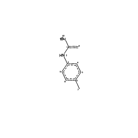 C=C(Nc1ccc(C)cc1)C(C)(C)C